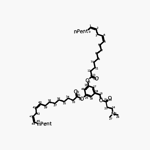 CCCCC/C=C\C/C=C\CCCCCCCC(=O)Oc1cc(COC(=O)CCN(C)C)cc(OC(=O)CCCCCCC/C=C\C/C=C\CCCCC)c1